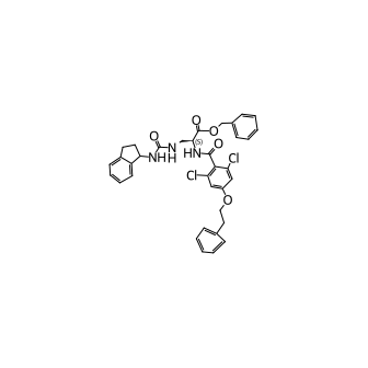 O=C(NC[C@H](NC(=O)c1c(Cl)cc(OCCc2ccccc2)cc1Cl)C(=O)OCc1ccccc1)NC1CCc2ccccc21